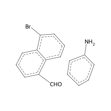 Nc1ccccc1.O=Cc1cccc2c(Br)cccc12